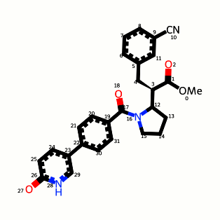 COC(=O)[C@H](Cc1cccc(C#N)c1)C1CCCN1C(=O)c1ccc(-c2ccc(=O)[nH]c2)cc1